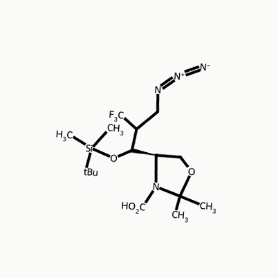 CC1(C)OC[C@H](C(O[Si](C)(C)C(C)(C)C)C(CN=[N+]=[N-])C(F)(F)F)N1C(=O)O